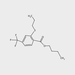 CCCCOC(=O)c1ccc(C(F)(F)F)cc1SCCC